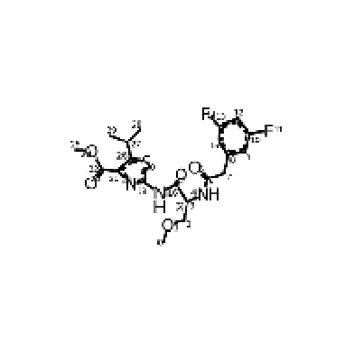 COC[C@H](NC(=O)Cc1cc(F)cc(F)c1)C(=O)Nc1nc(C(=O)OC)c(C(C)C)s1